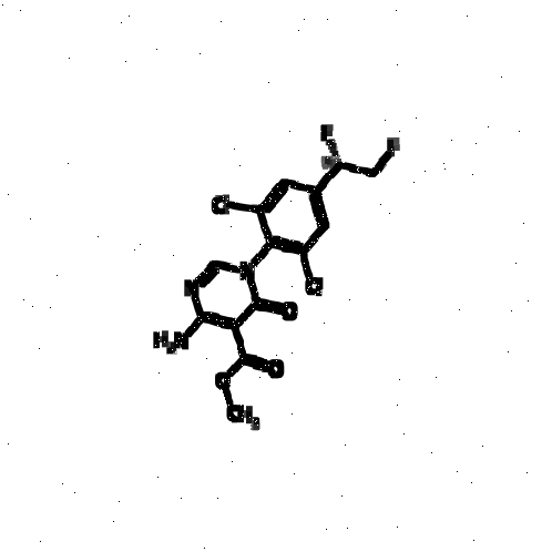 COC(=O)c1c(N)ncn(-c2c(Cl)cc([C@H](F)CF)cc2Cl)c1=O